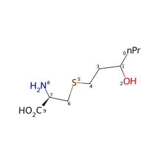 CCCC(O)CCSC[C@H](N)C(=O)O